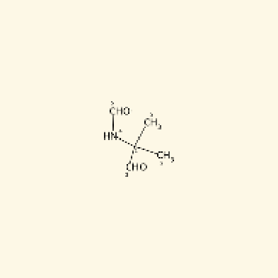 CC(C)(C=O)N[C]=O